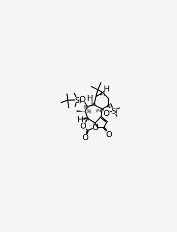 C[C@H]1[C@@H](O[Si](C)(C)C(C)(C)C)[C@H]2C3[C@@H](C[C@@H](C)[C@]2(O[Si](C)(C)C)C2=CC(=O)C[C@]24OC(=O)O[C@H]14)C3(C)C